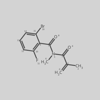 C=C(C)C(=O)N(C)C(=O)c1c(F)cccc1Br